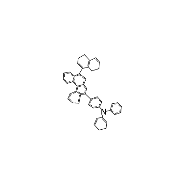 C1=CC(N(c2ccccc2)c2ccc(-c3cc4cc(C5=CCCC6=C5CCC=C6)c5ccccc5c4c4ccccc34)cc2)=CCC1